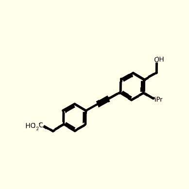 CC(C)c1cc(C#Cc2ccc(CC(=O)O)cc2)ccc1CO